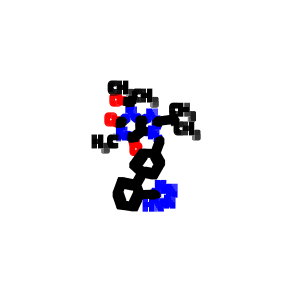 COC(C)n1c(=O)n(C)c(=O)c2c1nc(C(C)C)n2Cc1ccc(-c2ccccc2-c2nnn[nH]2)cc1